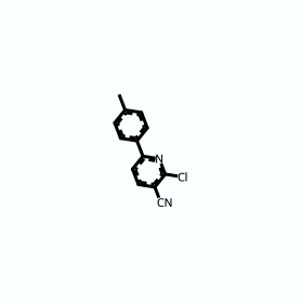 Cc1ccc(-c2ccc(C#N)c(Cl)n2)cc1